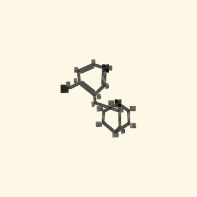 Brc1ccncc1CC1CC2CCN1CC2